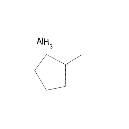 C[C]1CCCC1.[AlH3]